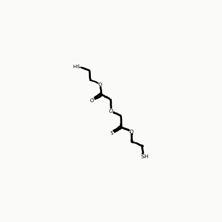 O=C(COCC(=S)OCCS)OCCS